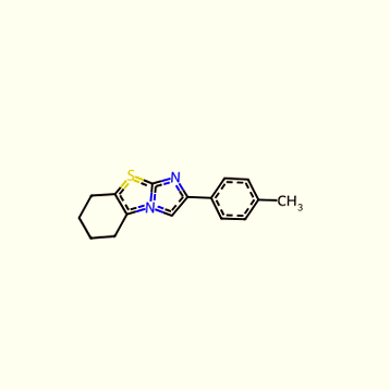 Cc1ccc(-c2cn3c4c(sc3n2)CCCC4)cc1